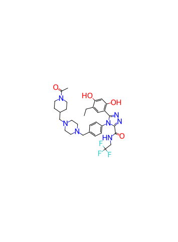 CCc1cc(-c2nnc(C(=O)NCC(F)(F)F)n2-c2ccc(CN3CCN(CC4CCN(C(C)=O)CC4)CC3)cc2)c(O)cc1O